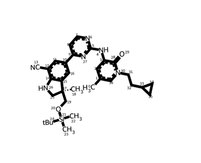 Cc1cc(Nc2nccc(-c3cc(C#N)c4c(c3)[C@@](C)(CO[Si](C)(C)C(C)(C)C)CN4)n2)c(=O)n(CCC2CC2)c1